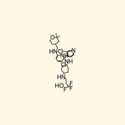 CC1(C)CC(CNC2=CC=C(Cl)C(NC3CCC(NC[C@@H](O)C(F)(F)F)CC3)(c3ccncc3Cl)N2)CCO1